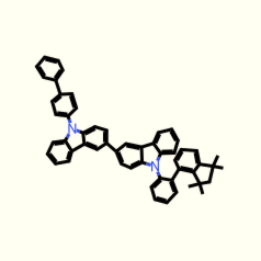 CC1(C)CC(C)(C)c2c(-c3ccccc3-n3c4ccccc4c4cc(-c5ccc6c(c5)c5ccccc5n6-c5ccc(-c6ccccc6)cc5)ccc43)cccc21